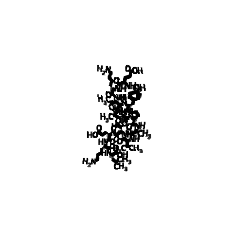 CC(C)C[C@H](NC(=O)[C@H](CCCCN)NC(=O)[C@H](CCC(=O)O)NC(=O)[C@H](CC(=O)O)NC(=O)[C@@H](NC(=O)[C@H](C)NC(=O)[C@@H]1CCCN1C(=O)[C@H](CC(C)C)NC(=O)[C@H](Cc1ccc(O)cc1)NC(=O)[C@@H](NC(=O)[C@H](CCCCN)NC(=O)[C@@H](N)CCC(=O)O)[C@@H](C)O)C(C)C)C(=O)O